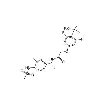 Cc1cc([C@@H](C)NC(=O)COc2cc(F)c(C(C)(C)C(F)(F)F)c(F)c2)ccc1NS(C)(=O)=O